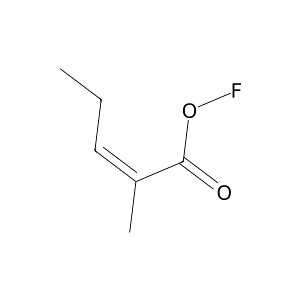 CCC=C(C)C(=O)OF